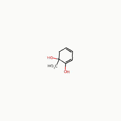 O=C(O)C1(O)CC=CC=C1O